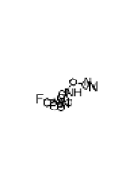 CN(C)c1ccc(-c2cccc(CNC(=O)C3CCCN3S(=O)(=O)c3cc4cc(F)ccc4o3)c2)cn1